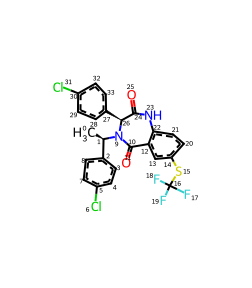 C[C@H](c1ccc(Cl)cc1)N1C(=O)c2cc(SC(F)(F)F)ccc2NC(=O)[C@@H]1c1ccc(Cl)cc1